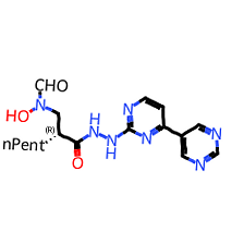 CCCCC[C@H](CN(O)C=O)C(=O)NNc1nccc(-c2cncnc2)n1